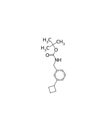 CC(C)(C)OC(=O)NCc1cccc(C2CCC2)c1